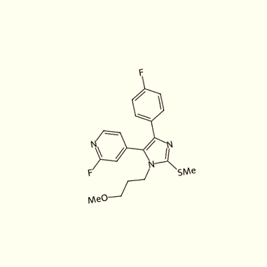 COCCCn1c(SC)nc(-c2ccc(F)cc2)c1-c1ccnc(F)c1